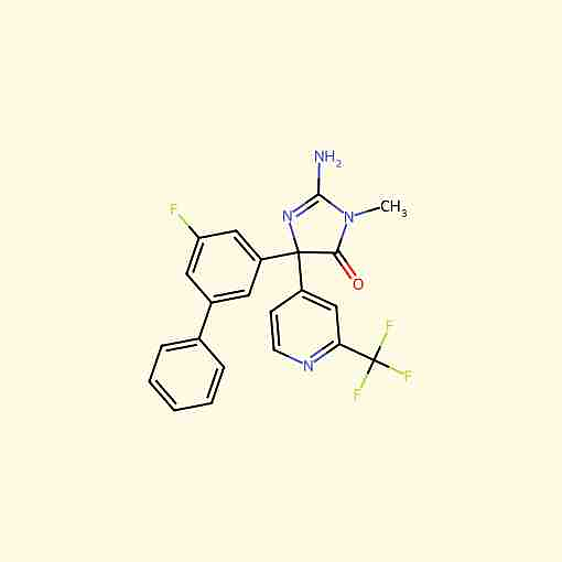 CN1C(=O)C(c2cc(F)cc(-c3ccccc3)c2)(c2ccnc(C(F)(F)F)c2)N=C1N